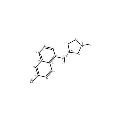 CN1CC[C@@H](Nc2ccnc3cc(Cl)ccc23)C1